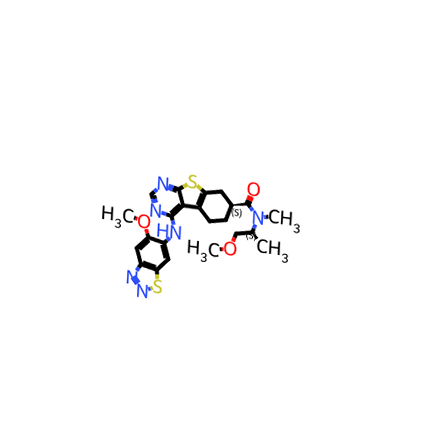 COC[C@H](C)N(C)C(=O)[C@H]1CCc2c(sc3ncnc(Nc4cc5snnc5cc4OC)c23)C1